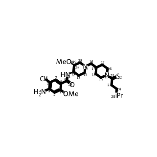 COc1cc(N)c(Cl)cc1C(=O)N[C@@H]1CCN(CC2CCN(C(=S)CCC(C)C)CC2)C[C@@H]1OC